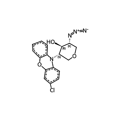 [N-]=[N+]=N[C@@H]1COC[C@H](N2c3ccccc3Oc3cc(Cl)ccc32)[C@H]1O